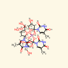 Cc1cn([C@@]2(OP(=O)(O[C@]3(n4cc(C)c(=O)[nH]c4=O)C[C@H](O)[C@@H](CO)O3)O[C@]3(n4cc(C)c(=O)[nH]c4=O)C[C@H](O)[C@@H](CO)O3)C[C@H](O)[C@@H](CO)O2)c(=O)[nH]c1=O